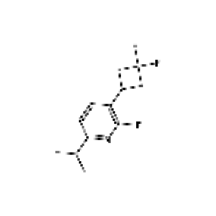 CC(C)c1ccc(C2CC(F)(F)C2)c(F)n1